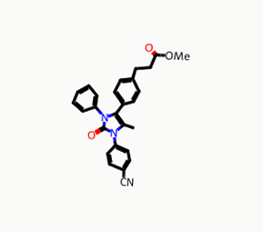 COC(=O)CCc1ccc(-c2c(C)n(-c3ccc(C#N)cc3)c(=O)n2-c2ccccc2)cc1